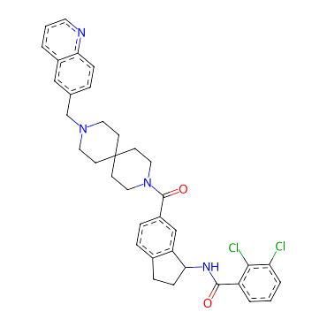 O=C(NC1CCc2ccc(C(=O)N3CCC4(CCN(Cc5ccc6ncccc6c5)CC4)CC3)cc21)c1cccc(Cl)c1Cl